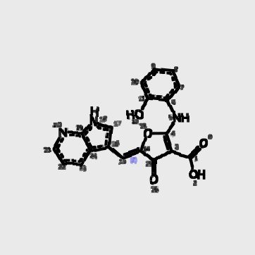 O=C(O)C1=C(Nc2ccccc2O)O/C(=C\c2c[nH]c3ncccc23)C1=O